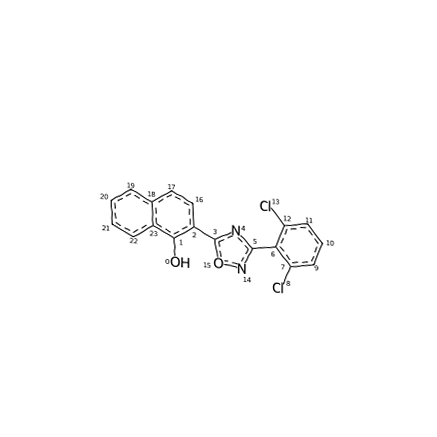 Oc1c(-c2nc(-c3c(Cl)cccc3Cl)no2)ccc2ccccc12